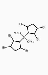 CCC1CC(CC)C([Si](OC)(OC)C2C(CC)CC(CC)C2CC)C1CC